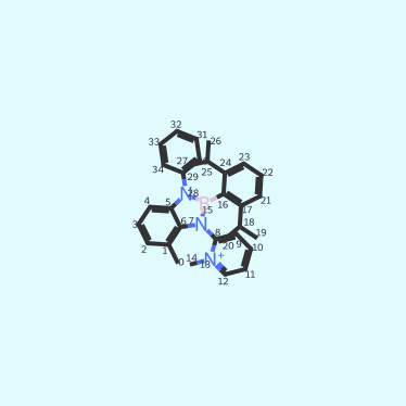 Cc1cccc2c1N(c1cccc[n+]1C)B(c1c(C(C)C)cccc1C(C)C)N2c1ccccc1